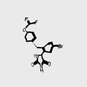 O=C1NC(=O)C(c2cc(Br)ccc2C[C@H]2CC[C@@H](OC(F)F)CC2)N1